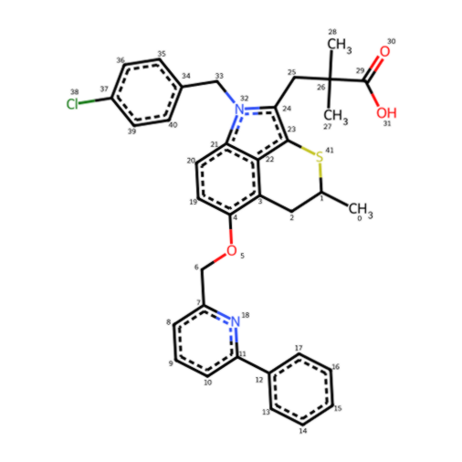 CC1Cc2c(OCc3cccc(-c4ccccc4)n3)ccc3c2c(c(CC(C)(C)C(=O)O)n3Cc2ccc(Cl)cc2)S1